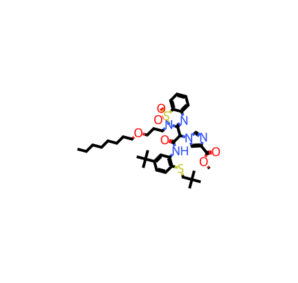 CCCCCCCCOCCCN1C(C(C(=O)Nc2cc(C(C)(C)C)ccc2SCC(C)(C)C)n2cnc(C(=O)OC)c2)=Nc2ccccc2S1(=O)=O